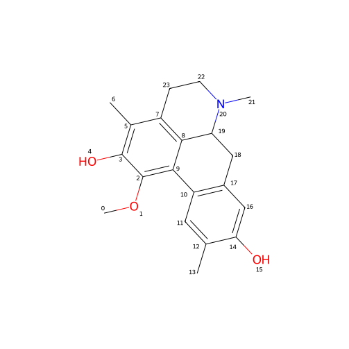 COc1c(O)c(C)c2c3c1-c1cc(C)c(O)cc1CC3N(C)CC2